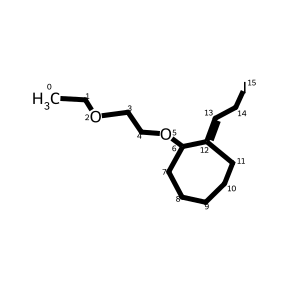 CCOCCOC1CCCCCC1=CCI